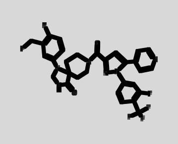 O=C(c1cc(-c2ccncc2)n(-c2ccc(C(F)(F)F)c(F)c2)n1)N1CCC2(CC1)C(=O)NCN2c1ccc(F)c(CF)c1